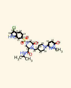 CC(C)NC(=O)C1CN(S(=O)(=O)c2ccc3c(Cl)c[nH]c3c2)CC(=O)N1CC1CCN(c2ccc(=O)n(C)n2)CC1